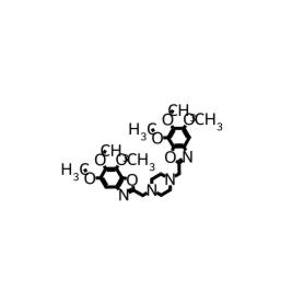 COc1cc2nc(CN3CCN(Cc4nc5cc(OC)c(OC)c(OC)c5o4)CC3)oc2c(OC)c1OC